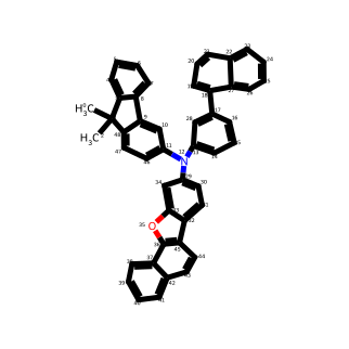 CC1(C)c2ccccc2-c2cc(N(c3cccc(-c4cccc5ccccc45)c3)c3ccc4c(c3)oc3c5ccccc5ccc43)ccc21